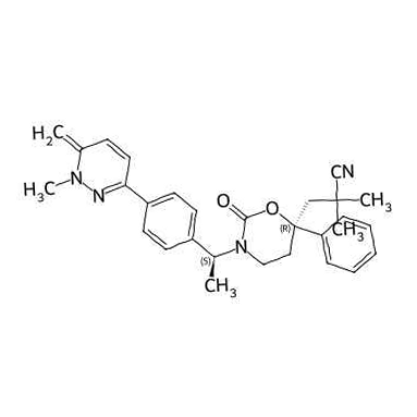 C=C1C=CC(c2ccc([C@H](C)N3CC[C@](CC(C)(C)C#N)(c4ccccc4)OC3=O)cc2)=NN1C